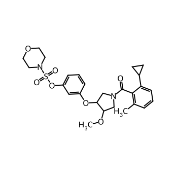 COC1CN(C(=O)c2c(C)cccc2C2CC2)CC1Oc1cccc(OS(=O)(=O)N2CCOCC2)c1